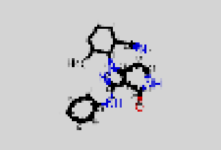 CC1CCCC(C#N)C1n1nc(Nc2ccccc2)c2c(=O)[nH]ccc21